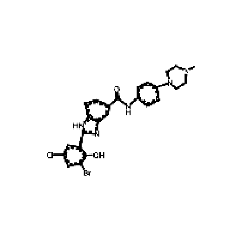 CN1CCN(c2ccc(NC(=O)c3ccc4[nH]c(-c5cc(Cl)cc(Br)c5O)nc4c3)cc2)CC1